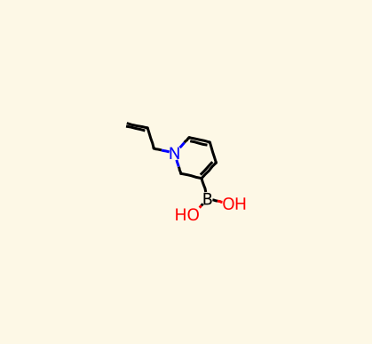 C=CCN1C=CC=C(B(O)O)C1